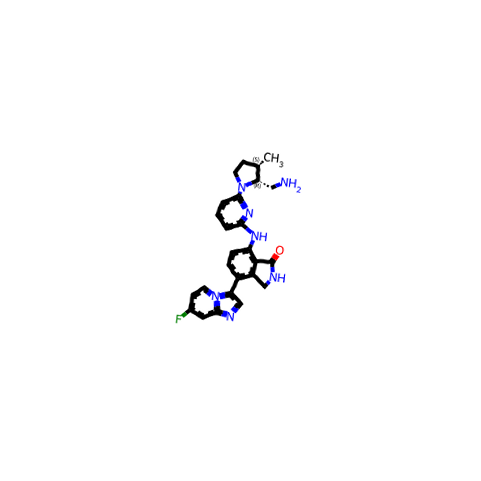 C[C@H]1CCN(c2cccc(Nc3ccc(-c4cnc5cc(F)ccn45)c4c3C(=O)NC4)n2)[C@H]1CN